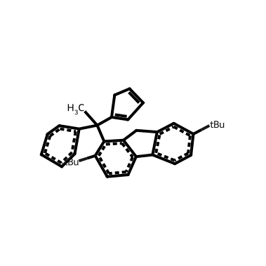 CC(C)(C)c1ccc2c(c1)Cc1c-2ccc(C(C)(C)C)c1C(C)(C1=CC=CC1)c1ccccc1